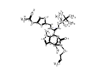 C=CCON1C(=O)N2C[C@H]1c1cnn(C)c1[C@H]2/C(=N/O[Si](C)(C)C(C)(C)C)NCc1nc(OC(N)=O)cs1